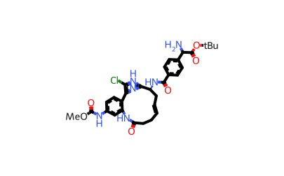 COC(=O)Nc1ccc2c(c1)NC(=O)CC/C=C/C[C@H](NC(=O)c1ccc(C(N)C(=O)OC(C)(C)C)cc1)c1nc-2c(Cl)[nH]1